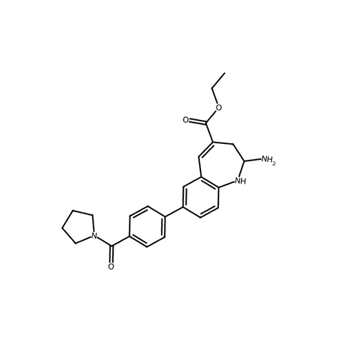 CCOC(=O)C1=Cc2cc(-c3ccc(C(=O)N4CCCC4)cc3)ccc2NC(N)C1